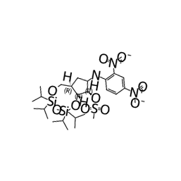 CC(C)[Si]1(C(C)C)OC[C@H]2CC(Nc3ccc([N+](=O)[O-])cc3[N+](=O)[O-])[C@@H](OS(C)(=O)=O)[C@@H]2O[Si](C(C)C)(C(C)C)O1